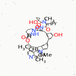 CCn1c(-c2cccnc2[C@H](C)OC)c2c3cc(ccc31)-c1cc(O)cc(c1)C[C@H](NC(=O)[C@H](C(C)C)N(C)C(=O)C1(O)CC1)C(=O)N1CCC[C@H](N1)C(=O)OCC(C)(C)C2